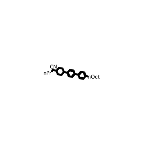 CCCCCCCCc1ccc(-c2ccc(C3CCC(C(C#N)CCC)CC3)cc2)cc1